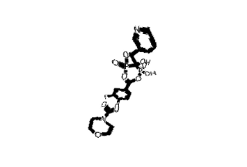 O=C(Oc1ccc(C2OP(=O)(O)C(O)(Cc3cccnc3)P(=O)(O)O2)cc1F)N1CCOCC1